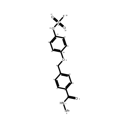 CCCNC(=O)c1ccc(COc2ccc(OS(=O)(=O)F)cc2)cc1